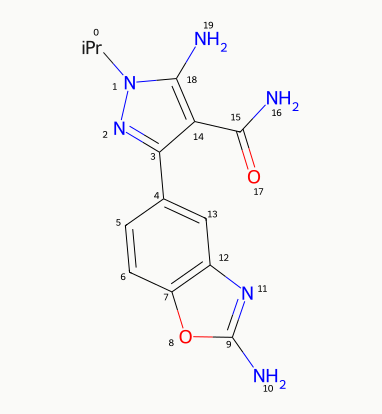 CC(C)n1nc(-c2ccc3oc(N)nc3c2)c(C(N)=O)c1N